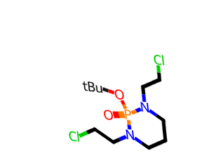 CC(C)(C)OP1(=O)N(CCCl)CCCN1CCCl